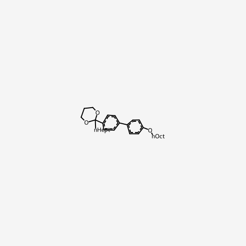 CCCCCCCCOc1ccc(-c2ccc(C3(CCCCCCC)OCCCO3)cc2)cc1